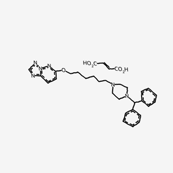 O=C(O)C=CC(=O)O.c1ccc(C(c2ccccc2)N2CCN(CCCCCCOc3ccc4ncnn4n3)CC2)cc1